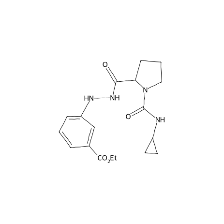 CCOC(=O)c1cccc(NNC(=O)C2CCCN2C(=O)NC2CC2)c1